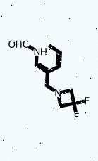 C/C=C\C(=C/NC=O)CN1CC(F)(F)C1